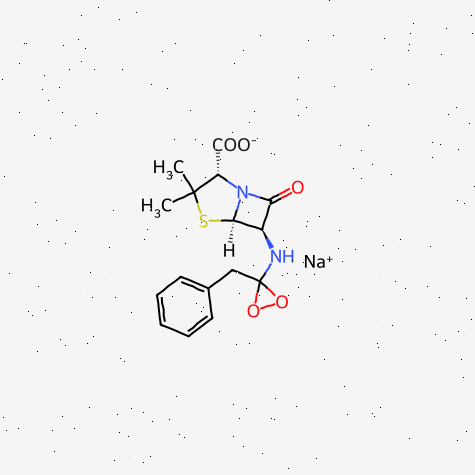 CC1(C)S[C@@H]2[C@H](NC3(Cc4ccccc4)OO3)C(=O)N2[C@H]1C(=O)[O-].[Na+]